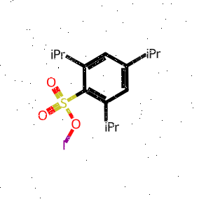 CC(C)c1cc(C(C)C)c(S(=O)(=O)OI)c(C(C)C)c1